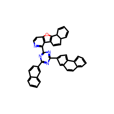 C1=CC2C=Cc3c(oc4ccnc(-c5nc(-c6ccc7ccccc7c6)nc(-c6ccc7c(ccc8ccccc87)c6)n5)c34)C2C=C1